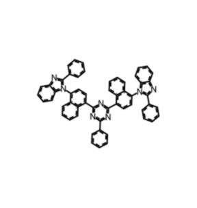 c1ccc(-c2nc(-c3ccc(-n4c(-c5ccccc5)nc5ccccc54)c4ccccc34)nc(-c3ccc(-n4c(-c5ccccc5)nc5ccccc54)c4ccccc34)n2)cc1